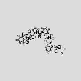 CC(C)Oc1ccccc1C1CCN(Cc2cccc(C(=O)N3CCc4ccc(NS(=O)(=O)c5c(F)cccc5F)cc43)c2)CC1